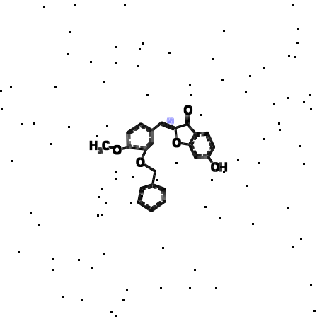 COc1ccc(/C=C2\Oc3cc(O)ccc3C2=O)cc1OCc1ccccc1